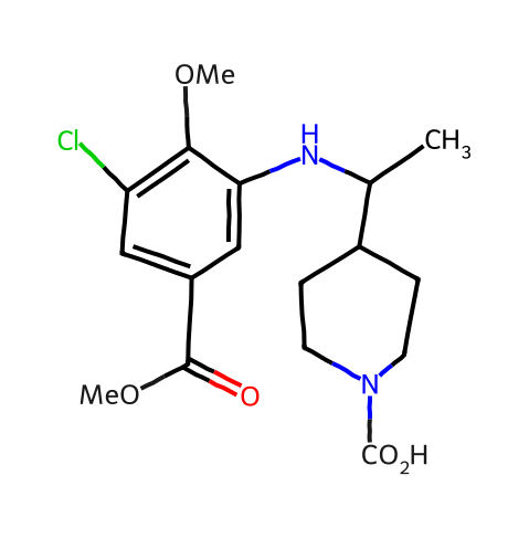 COC(=O)c1cc(Cl)c(OC)c(NC(C)C2CCN(C(=O)O)CC2)c1